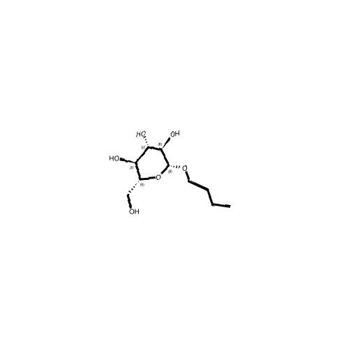 CCCCO[C@@H]1O[C@H](CO)[C@@H](O)[C@H](O)[C@H]1O